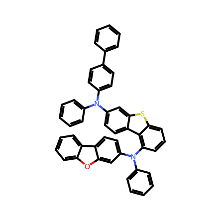 c1ccc(-c2ccc(N(c3ccccc3)c3ccc4c(c3)sc3cccc(N(c5ccccc5)c5ccc6c(c5)oc5ccccc56)c34)cc2)cc1